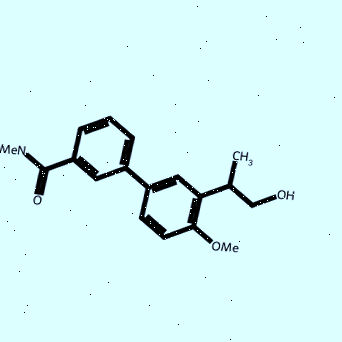 CNC(=O)c1cccc(-c2ccc(OC)c(C(C)CO)c2)c1